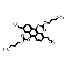 CCCCOC(=O)Oc1c2ccc(CC)cc2c(OC(=O)OCCCC)c2ccc(CC)cc12